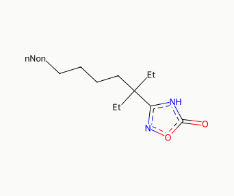 CCCCCCCCCCCCCC(CC)(CC)c1noc(=O)[nH]1